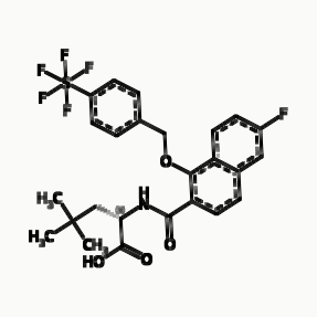 CC(C)(C)C[C@H](NC(=O)c1ccc2cc(F)ccc2c1OCc1ccc(S(F)(F)(F)(F)F)cc1)C(=O)O